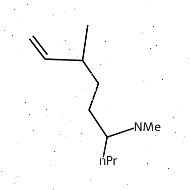 C=CC(C)CCC(CCC)NC